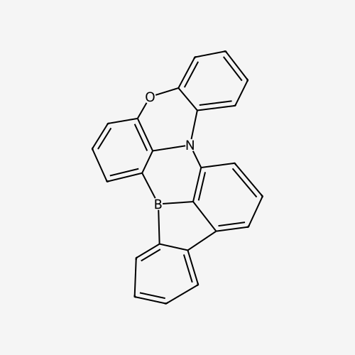 c1ccc2c(c1)Oc1cccc3c1N2c1cccc2c1B3c1ccccc1-2